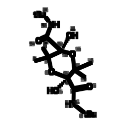 CC(C)(C)NC(=O)[C@@]1(O)OC(C)(C)[C@@](O)(C(=O)NC(C)(C)C)OC1(C)C